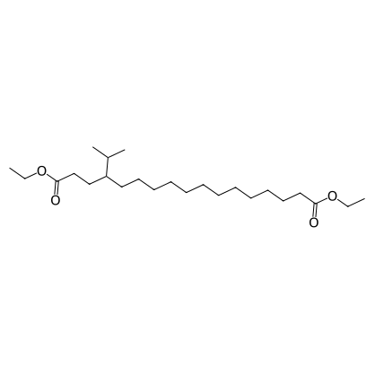 CCOC(=O)CCCCCCCCCCCCC(CCC(=O)OCC)C(C)C